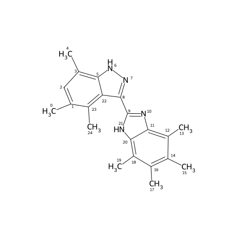 Cc1cc(C)c2[nH]nc(-c3nc4c(C)c(C)c(C)c(C)c4[nH]3)c2c1C